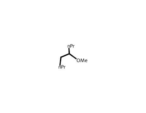 CCCCC(CCC)OC